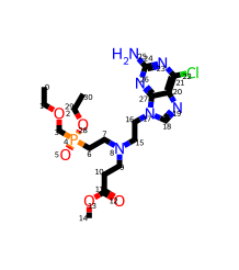 CCOCP(=O)(CCN(CCC(=O)OC)CCn1cnc2c(Cl)nc(N)nc21)OCC